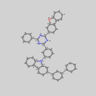 c1ccc(-c2cccc(-c3ccc4c5ccccc5n(-c5cccc(-c6nc(-c7ccccc7)nc(-c7ccc8c(c7)oc7ccccc78)n6)c5)c4c3)c2)cc1